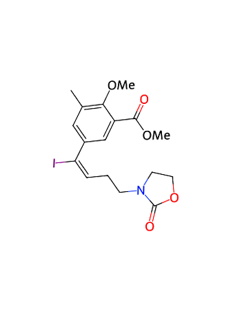 COC(=O)c1cc(/C(I)=C\CCN2CCOC2=O)cc(C)c1OC